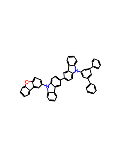 c1ccc(-c2cc(-c3ccccc3)cc(-n3c4ccccc4c4cc(-c5ccc6c(c5)c5ccccc5n6-c5ccc6oc7ccccc7c6c5)ccc43)c2)cc1